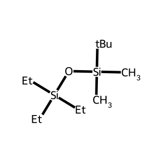 CC[Si](CC)(CC)O[Si](C)(C)C(C)(C)C